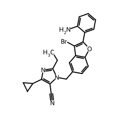 CCc1nc(C2CC2)c(C#N)n1Cc1ccc2oc(-c3ccccc3N)c(Br)c2c1